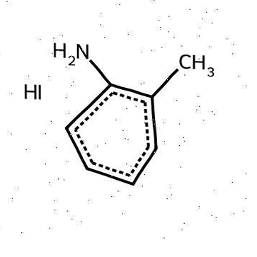 Cc1ccccc1N.I